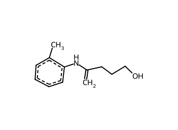 C=C(CCCO)Nc1ccccc1C